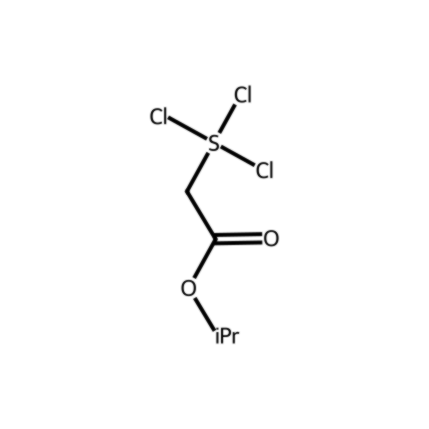 CC(C)OC(=O)CS(Cl)(Cl)Cl